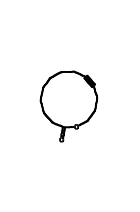 O=C1CCCCCCCC#CCCCO1